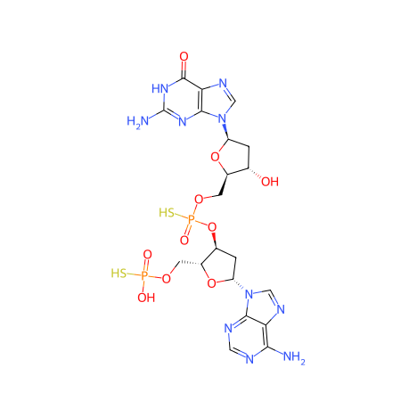 Nc1nc2c(ncn2[C@H]2C[C@H](O)[C@@H](COP(=O)(S)O[C@H]3C[C@H](n4cnc5c(N)ncnc54)O[C@@H]3COP(=O)(O)S)O2)c(=O)[nH]1